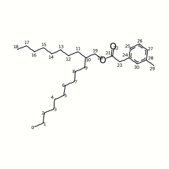 CCCCCCCCCCC(CCCCCCCC)COC(=O)Cc1cccc(C)c1